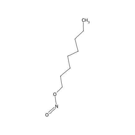 CCCCCCCCON=O